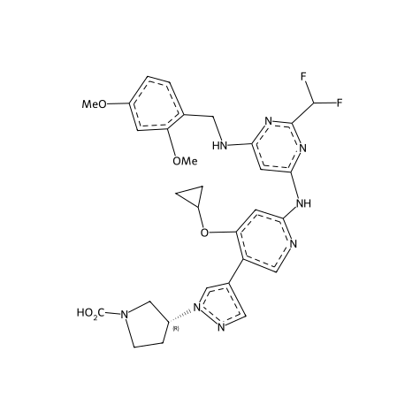 COc1ccc(CNc2cc(Nc3cc(OC4CC4)c(-c4cnn([C@@H]5CCN(C(=O)O)C5)c4)cn3)nc(C(F)F)n2)c(OC)c1